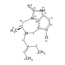 C/C=C(\CC)CN1Cc2c(Cl)ccc3[nH]c(=S)n(c23)C[C@@H]1C